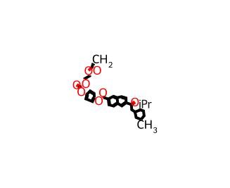 C=CC(=O)OCCOC(=O)Oc1ccc(OC(=O)c2ccc3cc(C(=O)CC4CC(C)CCC4C(C)C)ccc3c2)cc1